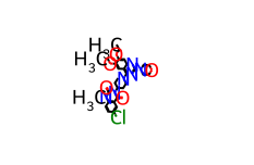 CCOc1cc2nc(N3CCOCC3)nc(N3CCC(n4c(=O)c5cc(Cl)ccc5n(C)c4=O)CC3)c2cc1OCC